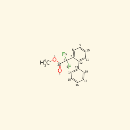 COC(=O)C(F)(F)c1ccccc1-c1ccccc1